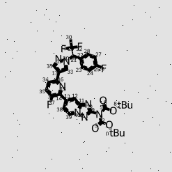 CC(C)(C)OC(=O)N(C(=O)OC(C)(C)C)c1nc2cc(-c3nc(-c4cnn([C@H](c5ccc(F)cc5)C(C)(F)F)c4)ccc3F)ccn2n1